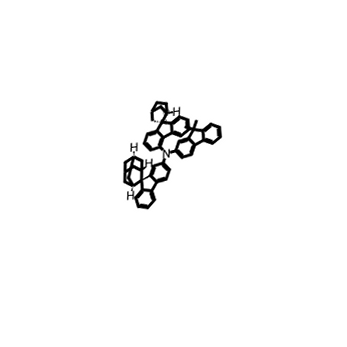 CC1(C)c2ccccc2-c2ccc(N(c3ccc4c(c3)[C@]3(c5ccccc5-4)[C@@H]4CC5C[C@@H](C4)C[C@@H]3C5)c3cccc4c3-c3ccccc3[C@@]43CC4CC[C@H]3C4)cc21